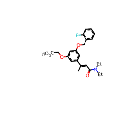 CCN(CC)C(=O)C=C(C)c1cc(OCC(=O)O)cc(OCc2ccccc2F)c1